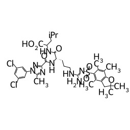 Cc1c(C)c(S(=O)(=O)/N=C(\N)NCCC[C@H](NC(=O)c2nc(C)n(-c3cc(Cl)cc(Cl)c3)n2)C(=O)NC(CC(C)C)C(=O)O)c(C)c2c1OC(C)(C)C2